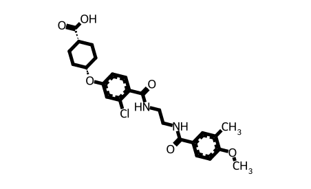 COc1ccc(C(=O)NCCNC(=O)c2ccc(O[C@H]3CC[C@@H](C(=O)O)CC3)cc2Cl)cc1C